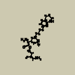 N/C=C(F)\C=N\OC(=O)[C@@H](N)CCN(CCCCc1ccc2c(n1)NCCC2)CC(F)F